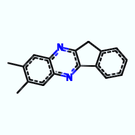 Cc1cc2nc3c(nc2cc1C)-c1ccccc1C3